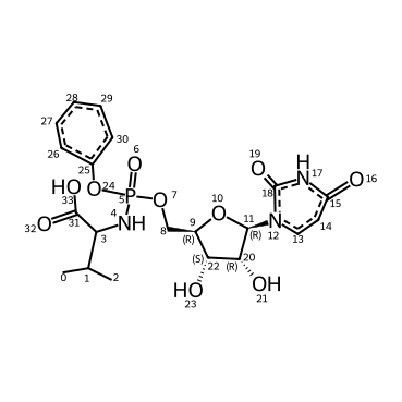 CC(C)C(NP(=O)(OC[C@H]1O[C@@H](n2ccc(=O)[nH]c2=O)[C@H](O)[C@@H]1O)Oc1ccccc1)C(=O)O